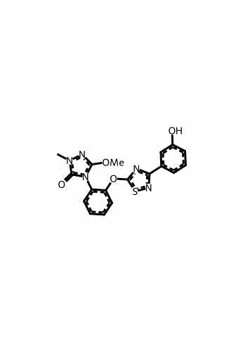 COc1nn(C)c(=O)n1-c1ccccc1Oc1nc(-c2cccc(O)c2)ns1